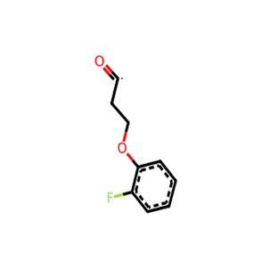 O=[C]CCOc1ccccc1F